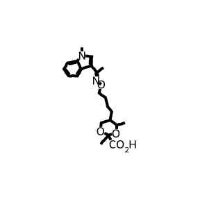 CC(=NOCCCCC1COC(C)(C(=O)O)OC1C)c1cn(C)c2ccccc12